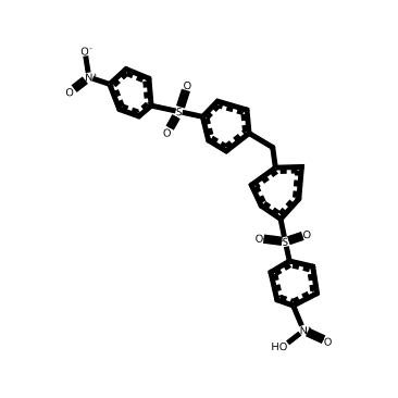 O=[N+]([O-])c1ccc(S(=O)(=O)c2ccc(Cc3ccc(S(=O)(=O)c4ccc([N+](=O)O)cc4)cc3)cc2)cc1